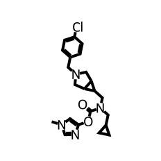 Cn1cnc(OC(=O)N(CC2CC2)CC2C3CN(Cc4ccc(Cl)cc4)CC32)c1